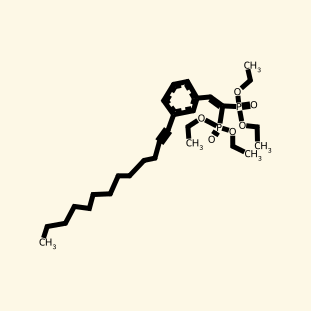 CCCCCCCCCCCC#Cc1cccc(C=C(P(=O)(OCC)OCC)P(=O)(OCC)OCC)c1